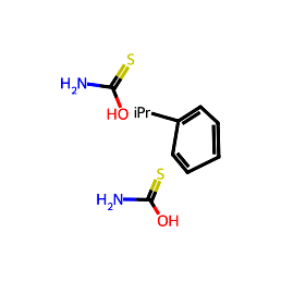 CC(C)c1ccccc1.NC(O)=S.NC(O)=S